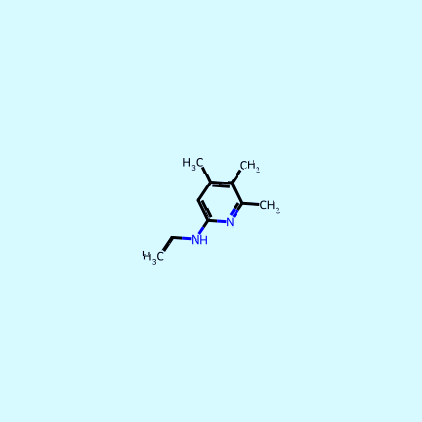 CCNc1cc(C)c(C)c(C)n1